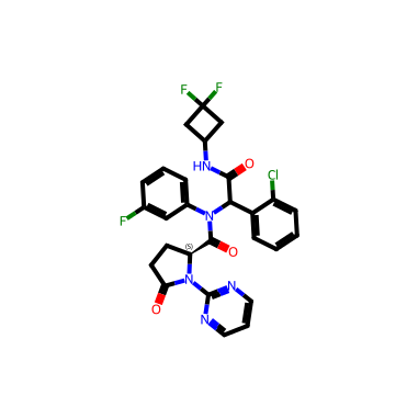 O=C(NC1CC(F)(F)C1)C(c1ccccc1Cl)N(C(=O)[C@@H]1CCC(=O)N1c1ncccn1)c1cccc(F)c1